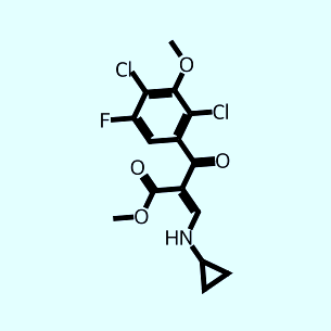 COC(=O)C(=CNC1CC1)C(=O)c1cc(F)c(Cl)c(OC)c1Cl